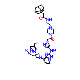 CCc1cnn(C2(CC#N)CN(c3cccn4nc(Nc5cnn(CC(=O)N6CCN(CCNC(=O)CC78CC9CC(CC(C9)C7)C8)CC6)c5)nc34)C2)c1